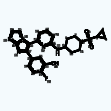 O=S(=O)(C1CC1)N1CCC(Nc2nccc(-c3c(-c4ccc(F)c(O)c4)nc4sccn34)n2)CC1